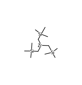 C[Si](C)(C)[CH2][Zr]([CH2][Si](C)(C)C)[CH2][Si](C)(C)C